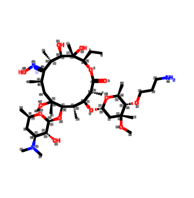 CC[C@H]1OC(=O)[C@H](C)[C@@H](O[C@H]2C[C@@](C)(OC)[C@@H](OCCCN)[C@H](C)O2)[C@H](C)[C@@H](O[C@@H]2O[C@H](C)C[C@H](N(C)C)[C@H]2O)[C@](C)(OC)C[C@@H](C)/C(=N\O)[C@H](C)[C@@H](O)[C@]1(C)O